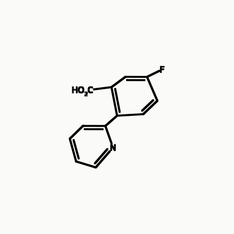 O=C(O)c1cc(F)ccc1-c1ccccn1